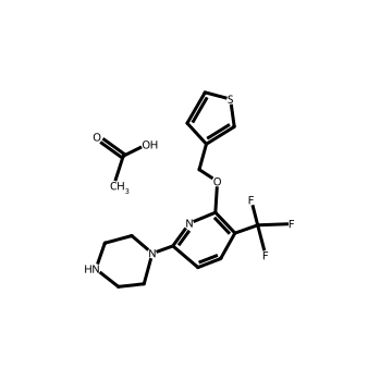 CC(=O)O.FC(F)(F)c1ccc(N2CCNCC2)nc1OCc1ccsc1